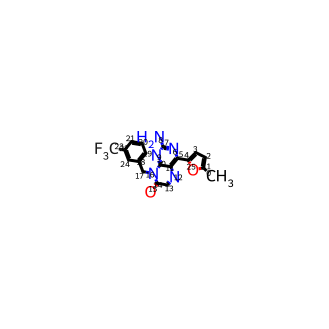 Cc1ccc(-c2nc(N)nc3c2ncc(=O)n3Cc2cccc(C(F)(F)F)c2)o1